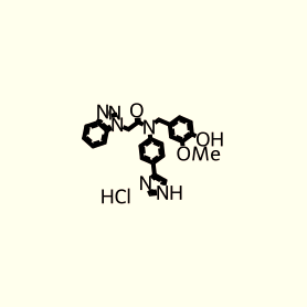 COc1cc(CN(C(=O)Cn2nnc3ccccc32)c2ccc(-c3c[nH]cn3)cc2)ccc1O.Cl